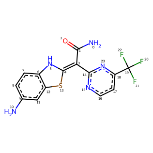 NC(=O)C(=C1Nc2ccc(N)cc2S1)c1nccc(C(F)(F)F)n1